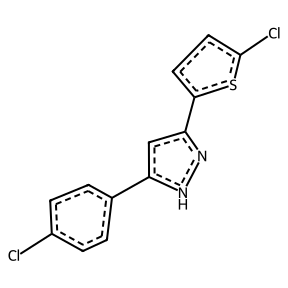 Clc1ccc(-c2cc(-c3ccc(Cl)s3)n[nH]2)cc1